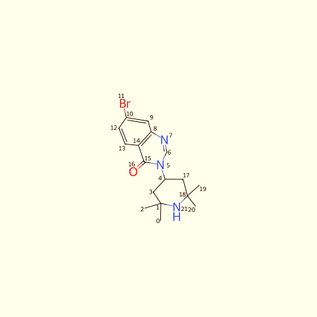 CC1(C)CC(n2cnc3cc(Br)ccc3c2=O)CC(C)(C)N1